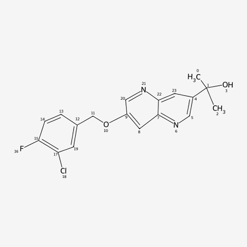 CC(C)(O)c1cnc2cc(OCc3ccc(F)c(Cl)c3)cnc2c1